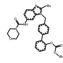 CCCCc1nc2ccc(NC(=O)N3CCOCC3)cc2n1Cc1ccc(-c2ccccc2OC(=O)OC(C)(C)C)cc1